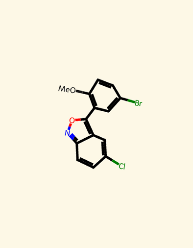 COc1ccc(Br)cc1-c1onc2ccc(Cl)cc12